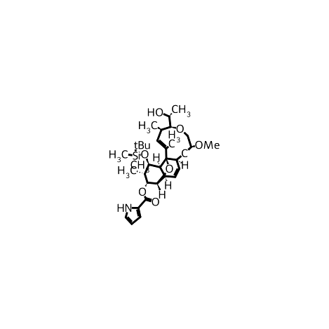 CO[C@@H]1CO[C@H]([C@@H](C)O)[C@H](C)/C=C(\C)[C@]23O[C@@H]4[C@H](C=C[C@@H]2C1)[C@H]3[C@H](O[Si](C)(C)C(C)(C)C)[C@@H](C)[C@H]4OC(=O)c1ccc[nH]1